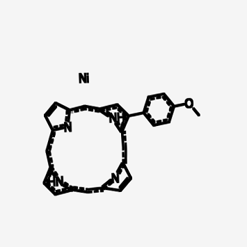 COc1ccc(-c2cc3cc4nc(cc5ccc(cc6nc(cc2[nH]3)C=C6)[nH]5)C=C4)cc1.[Ni]